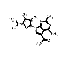 Cc1nc(N)c2c(C(N)=O)cn([C@@H]3O[C@H](C(C)O)[C@@H](O)[C@H]3O)c2n1